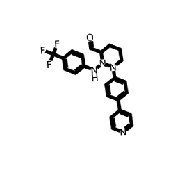 O=CC1CCCN(c2ccc(-c3ccncc3)cc2)N1Nc1ccc(C(F)(F)F)cc1